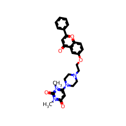 Cn1c(N2CCN(CCOc3ccc4oc(-c5ccccc5)cc(=O)c4c3)CC2)cc(=O)n(C)c1=O